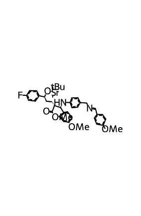 COC(=O)[C@H](CC[C@H](O[Si](C)(C)C(C)(C)C)c1ccc(F)cc1)[C@H](Nc1ccc(CN=Cc2ccc(OC)cc2)cc1)c1ccc(OC)cc1